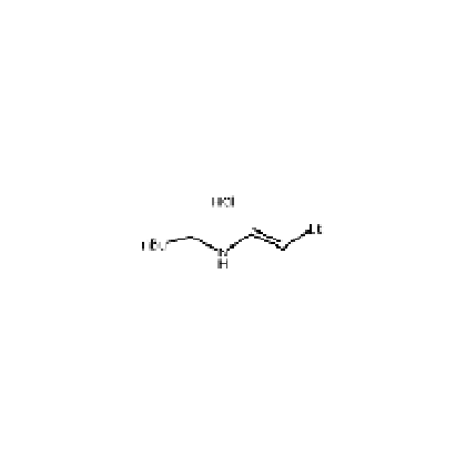 CCC=CNCCCCC.Cl